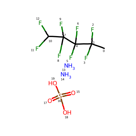 CC(F)(F)C(F)(F)C(F)(F)C(F)F.N.N.O=S(=O)(O)O